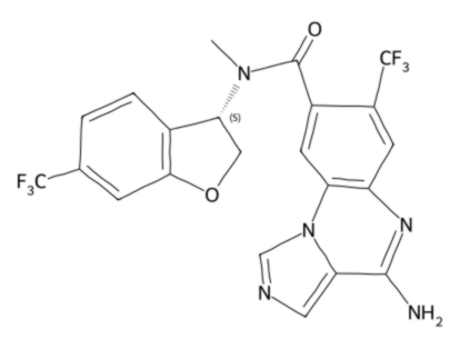 CN(C(=O)c1cc2c(cc1C(F)(F)F)nc(N)c1cncn12)[C@@H]1COc2cc(C(F)(F)F)ccc21